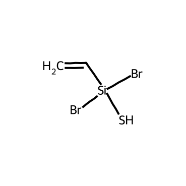 C=C[Si](S)(Br)Br